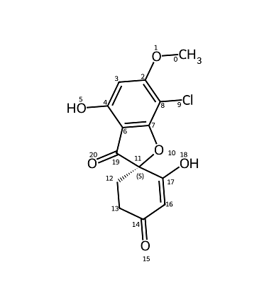 COc1cc(O)c2c(c1Cl)O[C@]1(CCC(=O)C=C1O)C2=O